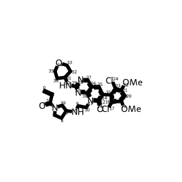 C=CC(=O)N1CCC(NCCn2c(=O)c(-c3c(Cl)c(OC)cc(OC)c3Cl)cc3cnc(NC4CCOCC4)nc32)C1